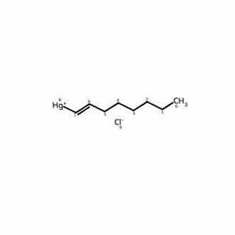 CCCCCCC=[CH][Hg+].[Cl-]